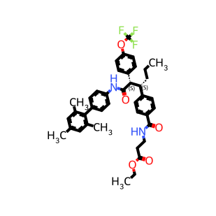 CCC[C@H](c1ccc(C(=O)NCCC(=O)OCC)cc1)[C@H](C(=O)Nc1ccc(-c2c(C)cc(C)cc2C)cc1)c1ccc(OC(F)(F)F)cc1